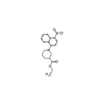 CCOC(=O)C1CCCN(c2ccc([N+](=O)[O-])c3ccccc23)C1